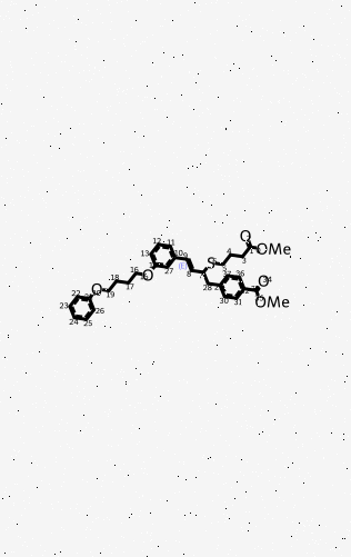 COC(=O)CCCSC(/C=C/c1cccc(OCCCCOc2ccccc2)c1)Cc1ccc(C(=O)OC)cc1